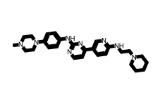 CN1CCN(c2ccc(Nc3nccc(-c4ccc(NCCN5CCCCC5)nc4)n3)cc2)CC1